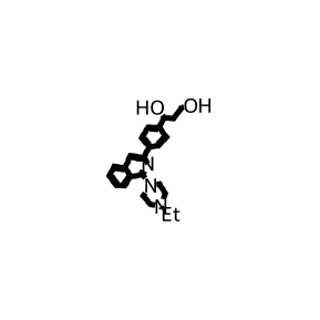 CCN1CCN(c2nc(-c3ccc(C(O)CCO)cc3)cc3ccccc23)CC1